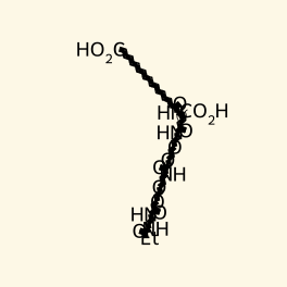 CCC(=O)NCCNC(=O)COCCOCCNC(=O)COCCOCCNC(=O)CC[C@H](NC(=O)CCCCCCCCCCCCCCCCC(=O)O)C(=O)O